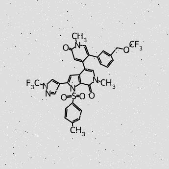 Cc1ccc(S(=O)(=O)n2c(-c3cnn(C(F)(F)F)c3)cc3c(-c4cc(=O)n(C)cc4-c4cccc(COC(F)(F)F)c4)cn(C)c(=O)c32)cc1